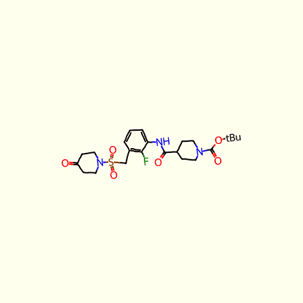 CC(C)(C)OC(=O)N1CCC(C(=O)Nc2cccc(CS(=O)(=O)N3CCC(=O)CC3)c2F)CC1